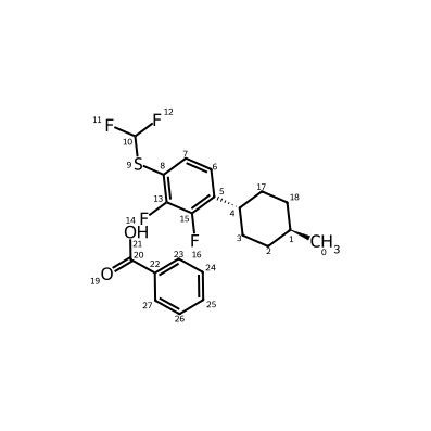 C[C@H]1CC[C@H](c2ccc(SC(F)F)c(F)c2F)CC1.O=C(O)c1ccccc1